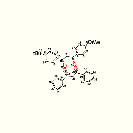 COc1ccc(C(=O)CC(=O)c2ccc(C(C)(C)C)cc2)cc1.O=C(CC(=O)c1ccccc1)c1ccccc1